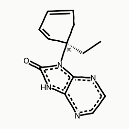 CC[C@]1(n2c(=O)[nH]c3nccnc32)C=CC=CC1